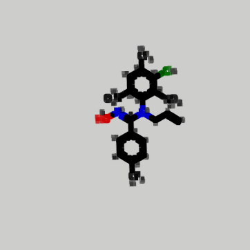 C=CCN(C(=NO)c1ccc(C(F)(F)F)cc1)c1c([N+](=O)[O-])cc(C(F)(F)F)c(Cl)c1[N+](=O)[O-]